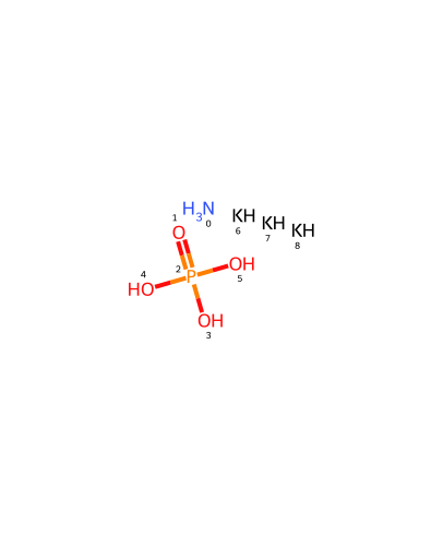 N.O=P(O)(O)O.[KH].[KH].[KH]